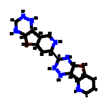 c1cnc2c(c1)sc1nc(-c3cc4sc5ncnnc5c4cn3)nnc12